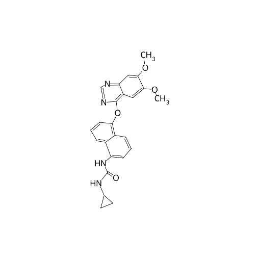 COc1cc2ncnc(Oc3cccc4c(NC(=O)NC5CC5)cccc34)c2cc1OC